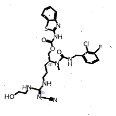 CN(C(=O)NCc1cccc(F)c1Cl)[C@@H](CCCN/C(=N\C#N)NCCO)COC(=O)Nc1nc2ccccc2s1